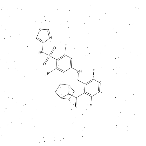 C[C@H](c1c(F)ccc(F)c1CNc1cc(F)c(S(=O)(=O)Nc2cscn2)c(F)c1)N1C2CCC1CC2